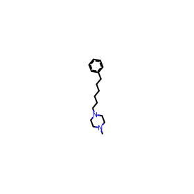 CN1CCN(CCCCCCc2ccccc2)CC1